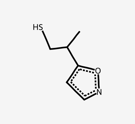 CC(CS)c1ccno1